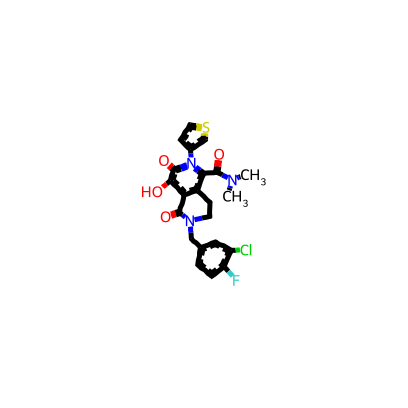 CN(C)C(=O)c1c2c(c(O)c(=O)n1-c1ccsc1)C(=O)N(Cc1ccc(F)c(Cl)c1)CC2